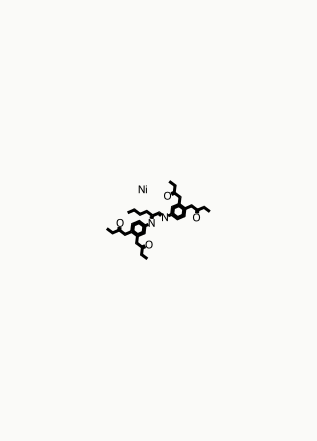 CCCCC(C=Nc1ccc(CC(=O)CC)c(CC(=O)CC)c1)=Nc1ccc(CC(=O)CC)c(CC(=O)CC)c1.[Ni]